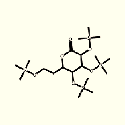 C[Si](C)(C)OCCC1OC(=O)C(O[Si](C)(C)C)C(O[Si](C)(C)C)C1O[Si](C)(C)C